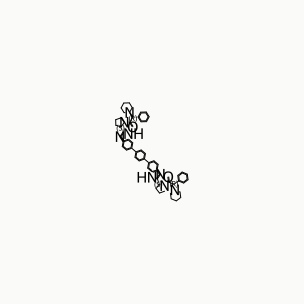 O=C([C@@H](c1ccccc1)N1CCCCC1)N1CCC[C@H]1c1nc2ccc(-c3ccc(-c4ccc5nc([C@@H]6CCCN6C(=O)[C@@H](c6ccccc6)N6CCCCC6)[nH]c5c4)cc3)cc2[nH]1